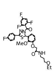 CCOCCCNC(=O)COc1cccc(C2SC(c3ccc(F)cc3)=NN2C(=O)c2c(F)cc(F)cc2F)c1OC